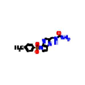 Cc1ccc(S(=O)(=O)n2ccc3nc(CNC(N)=O)cnc32)cc1